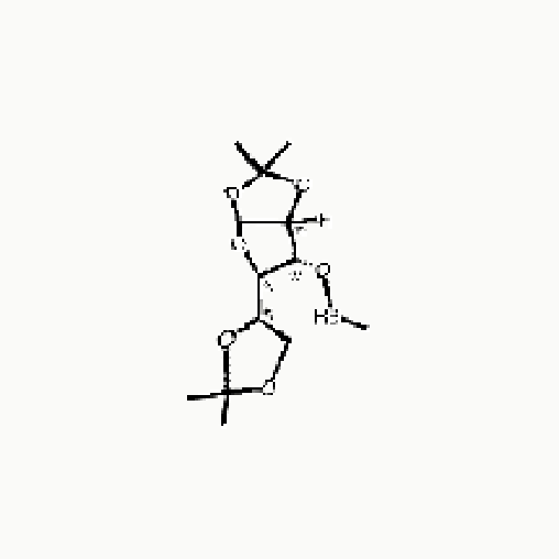 CBO[C@@H]1[C@@H]([C@H]2COC(C)(C)O2)OC2OC(C)(C)O[C@@H]21